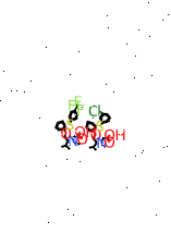 CC(C)C(COc1ccccc1Sc1cccc(Cl)c1)N(C)CC(=O)O.CCN(CC(=O)O)C(COc1ccccc1Sc1ccc(C(F)(F)F)cc1)C(C)C